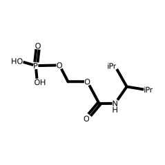 CC(C)C(NC(=O)OCOP(=O)(O)O)C(C)C